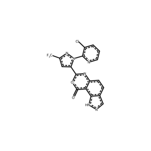 O=c1oc(-c2cc(C(F)(F)F)nn2-c2ncccc2Cl)nc2ccc3cn[nH]c3c12